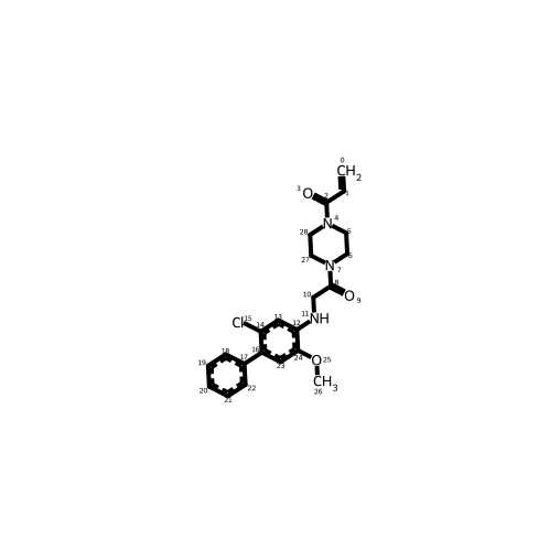 C=CC(=O)N1CCN(C(=O)CNc2cc(Cl)c(-c3ccccc3)cc2OC)CC1